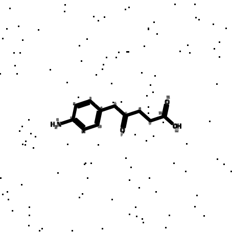 Nc1ccc(CC(=O)CCC(=O)O)cc1